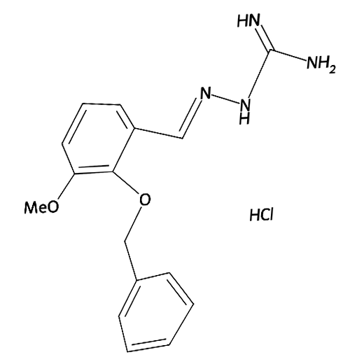 COc1cccc(/C=N/NC(=N)N)c1OCc1ccccc1.Cl